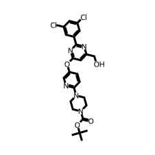 CC(C)(C)OC(=O)N1CCN(c2ccc(Oc3cc(CO)nc(-c4cc(Cl)cc(Cl)c4)n3)cn2)CC1